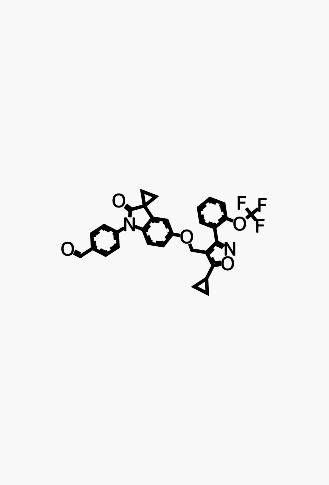 O=Cc1ccc(N2C(=O)C3(CC3)c3cc(OCc4c(-c5ccccc5OC(F)(F)F)noc4C4CC4)ccc32)cc1